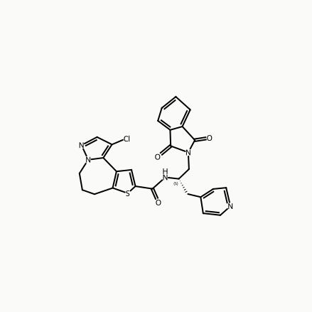 O=C(N[C@@H](Cc1ccncc1)CN1C(=O)c2ccccc2C1=O)c1cc2c(s1)CCCn1ncc(Cl)c1-2